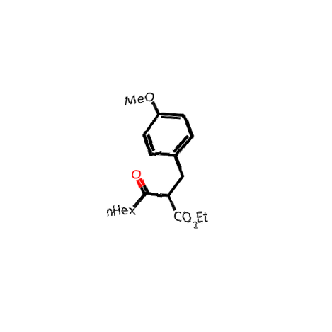 CCCCCCC(=O)C(Cc1ccc(OC)cc1)C(=O)OCC